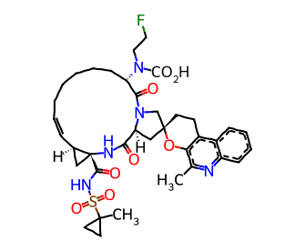 Cc1nc2ccccc2c2c1O[C@]1(CC2)C[C@H]2C(=O)N[C@]3(C(=O)NS(=O)(=O)C4(C)CC4)C[C@H]3/C=C\CCCCC[C@H](N(CCF)C(=O)O)C(=O)N2C1